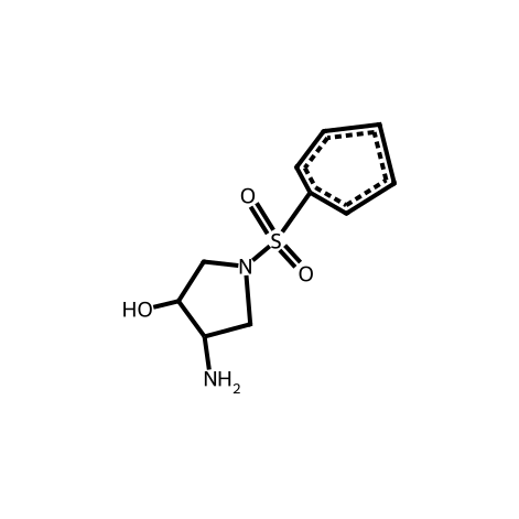 NC1CN(S(=O)(=O)c2ccccc2)CC1O